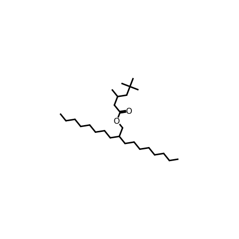 CCCCCCCCC(CCCCCCCC)COC(=O)CC(C)CC(C)(C)C